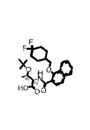 C[C@@H](OC(C)(C)C)[C@H](NC(=O)c1ccc2ccccc2c1OCC1CCC(F)(F)CC1)C(=O)O